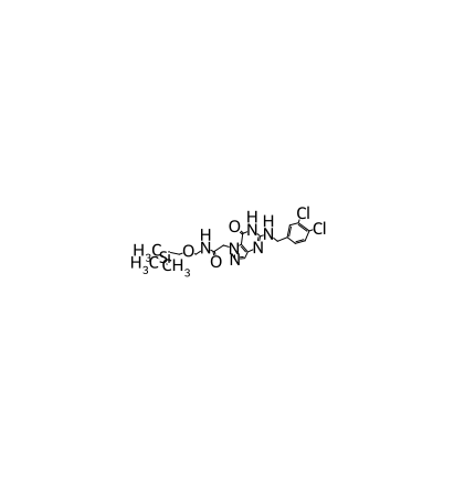 C[Si](C)(C)CCOCNC(=O)Cn1ncc2nc(NCc3ccc(Cl)c(Cl)c3)[nH]c(=O)c21